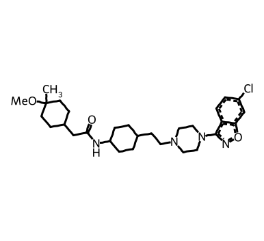 COC1(C)CCC(CC(=O)NC2CCC(CCN3CCN(c4noc5cc(Cl)ccc45)CC3)CC2)CC1